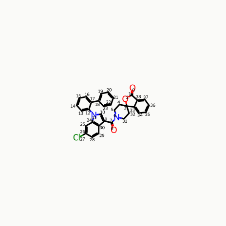 O=C1OC2(CCN(C(=O)c3cn(-c4ccccc4-c4ccccc4)c4cc(Cl)ccc34)CC2)c2ccccc21